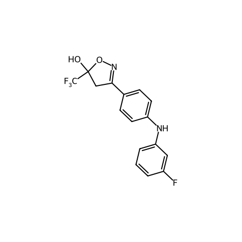 OC1(C(F)(F)F)CC(c2ccc(Nc3cccc(F)c3)cc2)=NO1